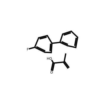 C=C(C)C(=O)O.Fc1ccc(-c2ccccc2)cc1